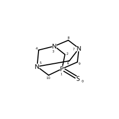 S=P12CN3CN(CN(C3)C1)C2